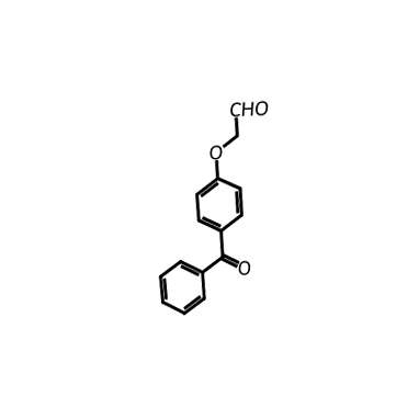 O=CCOc1ccc(C(=O)c2ccccc2)cc1